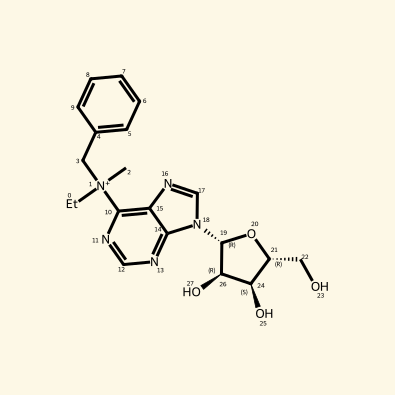 CC[N+](C)(Cc1ccccc1)c1ncnc2c1ncn2[C@@H]1O[C@H](CO)[C@@H](O)[C@H]1O